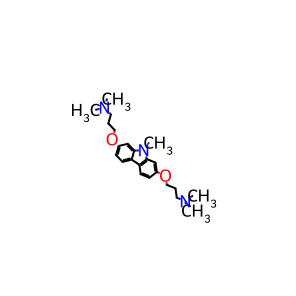 CN(C)CCCOc1ccc2c3ccc(OCCCN(C)C)cc3n(C)c2c1